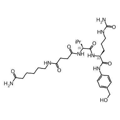 CC(C)[C@H](NC(=O)CCC(=O)NCCCCCC(N)=O)C(=O)N[C@@H](CCCNC(N)=O)C(=O)Nc1ccc(CO)cc1